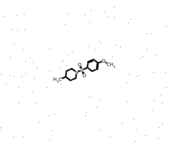 COC1=CCC(S(=O)(=O)N2CCC(C)CC2)C=C1